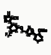 COc1ccccc1-c1nc(COc2cc(-c3nn[nH]c3C#N)cc(C(F)(F)F)c2)no1